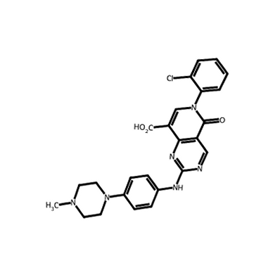 CN1CCN(c2ccc(Nc3ncc4c(=O)n(-c5ccccc5Cl)cc(C(=O)O)c4n3)cc2)CC1